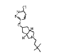 CC(C)(C)CCN1C[C@H]2CC(Oc3ccc(Cl)nn3)C[C@H]2C1